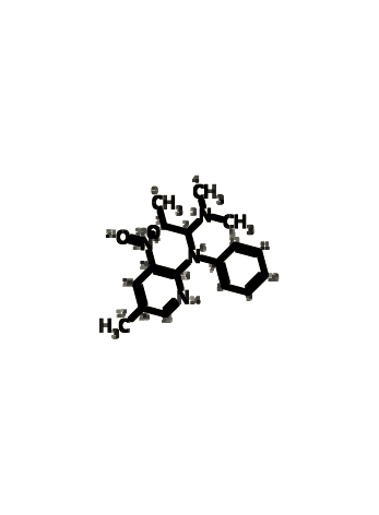 CCC(N(C)C)N(c1ccccc1)c1ncc(C)cc1[N+](=O)[O-]